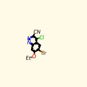 CCOc1cc2nnc(C#N)c(Cl)c2cc1Br